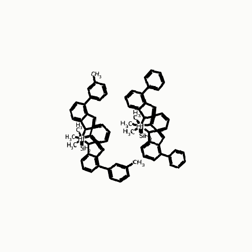 Cc1cccc(-c2cccc3c2C=C[CH]3[Hf]([CH3])([CH3])([CH3])(=[SiH2])([c]2ccccc2)[CH]2C=Cc3c(-c4cccc(C)c4)cccc32)c1.[CH3][Hf]([CH3])([CH3])(=[SiH2])([c]1ccccc1)([CH]1C=Cc2c(-c3ccccc3)cccc21)[CH]1C=Cc2c(-c3ccccc3)cccc21